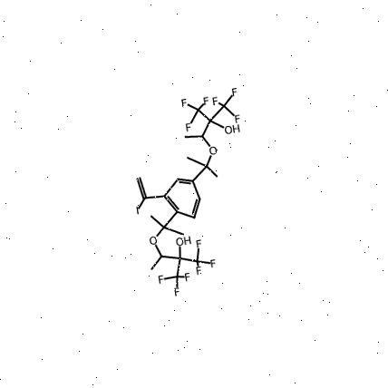 C=C(I)c1cc(C(C)(C)OC(C)C(O)(C(F)(F)F)C(F)(F)F)ccc1C(C)(C)OC(C)C(O)(C(F)(F)F)C(F)(F)F